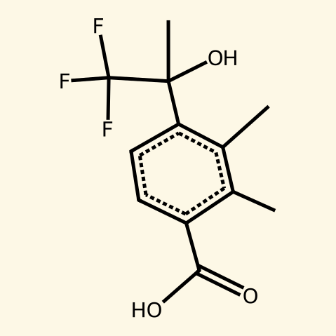 Cc1c(C(=O)O)ccc(C(C)(O)C(F)(F)F)c1C